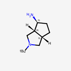 CC(C)(C)N1C[C@H]2CC[C@H](N)[C@H]2C1